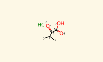 CC(C)C(=O)C(=O)O.Cl